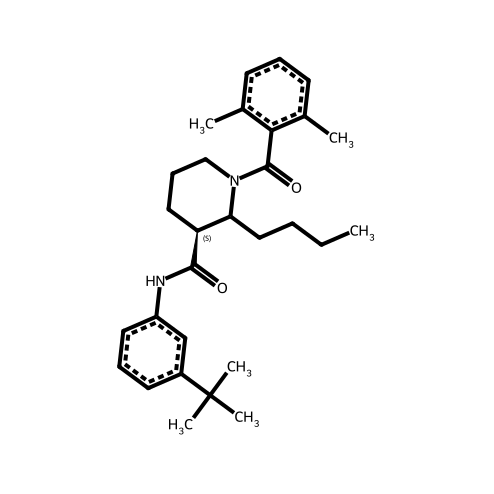 CCCCC1[C@@H](C(=O)Nc2cccc(C(C)(C)C)c2)CCCN1C(=O)c1c(C)cccc1C